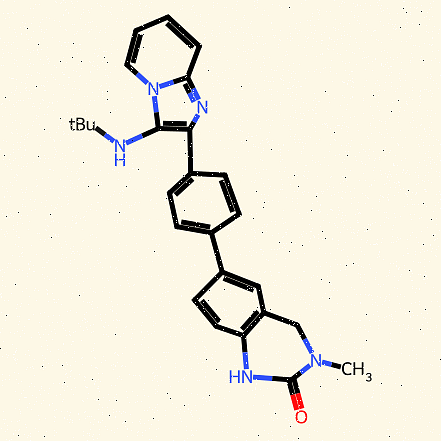 CN1Cc2cc(-c3ccc(-c4nc5ccccn5c4NC(C)(C)C)cc3)ccc2NC1=O